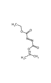 CCOC(=O)N=NC(=O)O[SiH](C)C